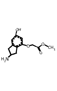 COC(=O)COc1cc(O)cc2c1CC(N)C2